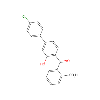 O=C(O)c1ccccc1C(=O)c1ccc(-c2ccc(Cl)cc2)cc1O